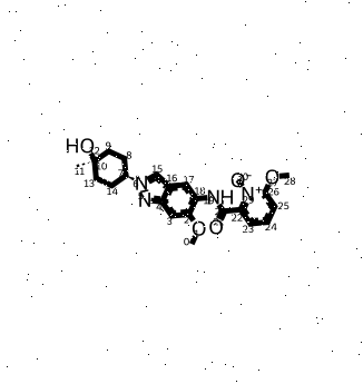 COc1cc2nn([C@H]3CC[C@](C)(O)CC3)cc2cc1NC(=O)c1cccc(OC)[n+]1[O-]